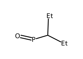 CCC(CC)P=O